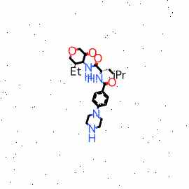 CC[C@@H]1COCC(=O)[C@H]1NC(=O)[C@H](CC(C)C)NC(=O)c1ccc(N2CCNCC2)cc1